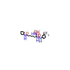 O=C(CCCCC[C@H](NC(=O)Nc1cccc(C(F)(F)F)c1)C(=O)NO)Nc1ccccc1